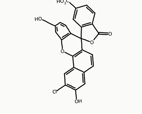 O=C(O)c1ccc2c(c1)C1(OC2=O)c2ccc(O)cc2Oc2c1ccc1cc(O)c(Cl)cc21